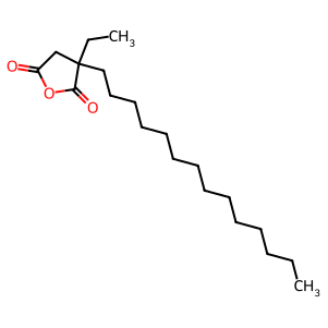 CCCCCCCCCCCCCCC1(CC)CC(=O)OC1=O